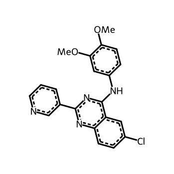 COc1ccc(Nc2nc(-c3cccnc3)nc3ccc(Cl)cc23)cc1OC